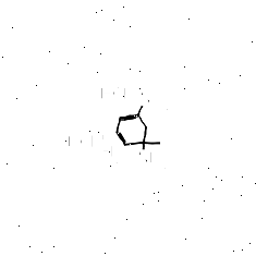 CC1(N)C=CC=C(N)C1.Cl.Cl.O